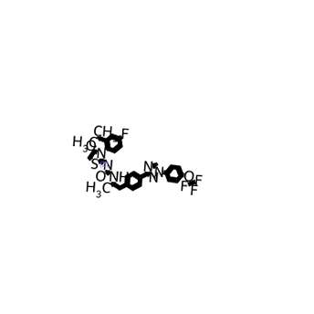 CC(Cc1ccc(-c2ncn(-c3ccc(OC(F)(F)F)cc3)n2)cc1)NC(=O)/N=C1\SCC(=O)N1c1ccc(F)cc1C(C)C